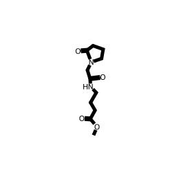 COC(=O)CCCNC(=O)CN1CCCC1=O